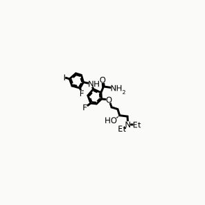 CCN(CC)C[C@H](O)CCOc1cc(F)cc(Nc2ccc(I)cc2F)c1C(N)=O